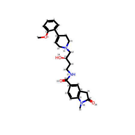 COc1ccccc1C1=CCN(C[C@H](O)CCNC(=O)c2ccc3c(c2)CC(=O)N3C)CC1